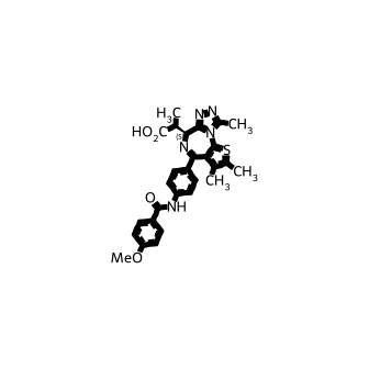 COc1ccc(C(=O)Nc2ccc(C3=N[C@@H](C(C)C(=O)O)c4nnc(C)n4-c4sc(C)c(C)c43)cc2)cc1